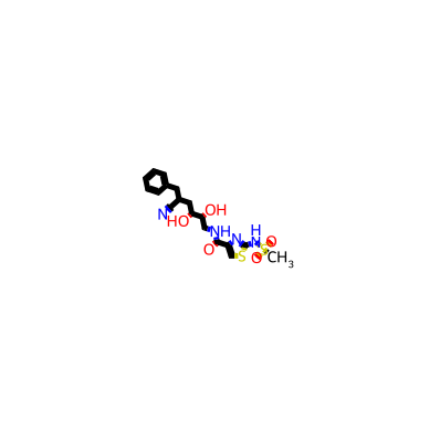 CS(=O)(=O)Nc1nc(C(=O)NCC(O)C(O)CC(C#N)Cc2ccccc2)cs1